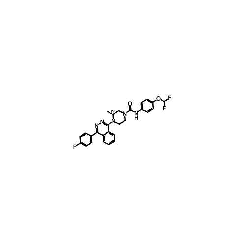 C[C@H]1CN(C(=O)Nc2ccc(OC(F)F)cc2)CCN1c1nnc(-c2ccc(F)cc2)c2ccccc12